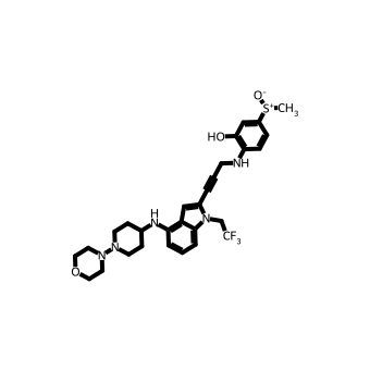 C[S+]([O-])c1ccc(NCC#Cc2cc3c(NC4CCN(N5CCOCC5)CC4)cccc3n2CC(F)(F)F)c(O)c1